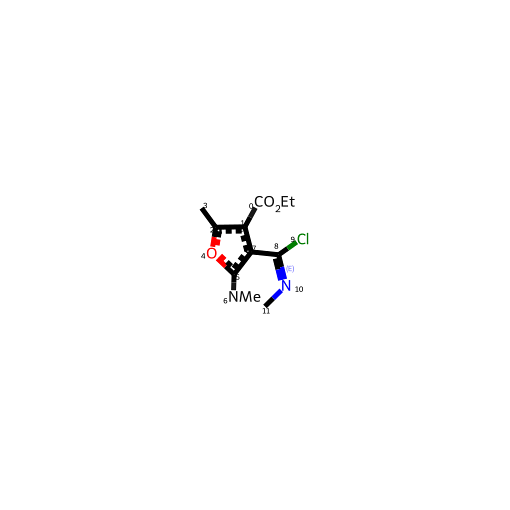 CCOC(=O)c1c(C)oc(NC)c1/C(Cl)=N\C